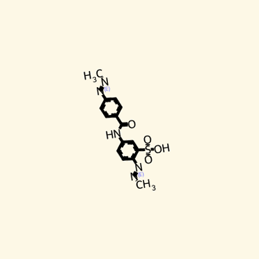 C/N=N/c1ccc(C(=O)Nc2ccc(/N=N/C)c(S(=O)(=O)O)c2)cc1